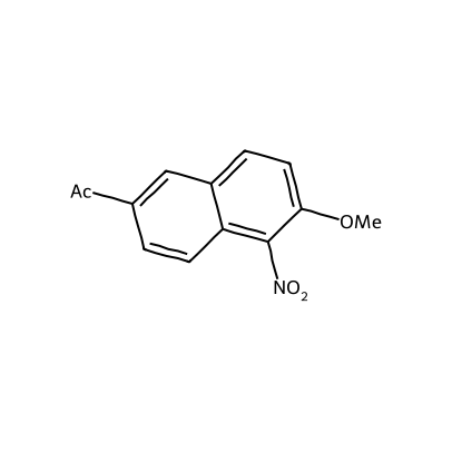 COc1ccc2cc(C(C)=O)ccc2c1[N+](=O)[O-]